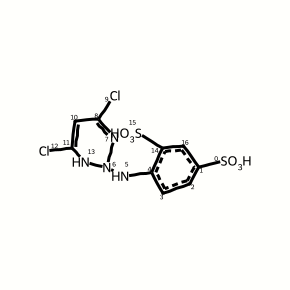 O=S(=O)(O)c1ccc(NN2N=C(Cl)C=C(Cl)N2)c(S(=O)(=O)O)c1